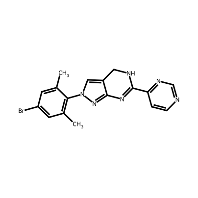 Cc1cc(Br)cc(C)c1-n1cc2c(n1)N=C(c1ccncn1)NC2